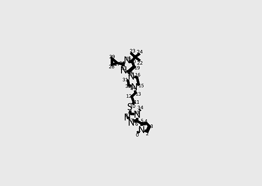 Cn1cccc1-c1nnc(SCCCN2CCN(c3cc(C(C)(C)C)nc(C4CC4)n3)CC2)n1C